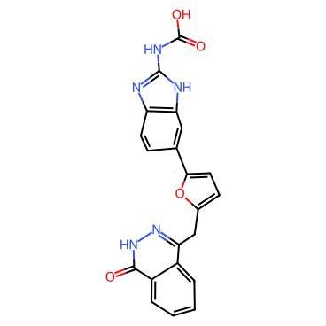 O=C(O)Nc1nc2ccc(-c3ccc(Cc4n[nH]c(=O)c5ccccc45)o3)cc2[nH]1